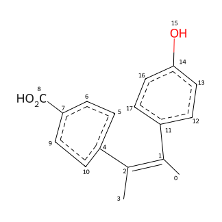 CC(=C(C)c1ccc(C(=O)O)cc1)c1ccc(O)cc1